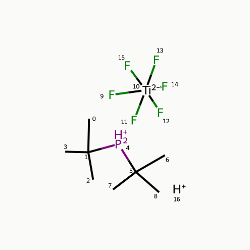 CC(C)(C)[PH2+]C(C)(C)C.[F][Ti-2]([F])([F])([F])([F])[F].[H+]